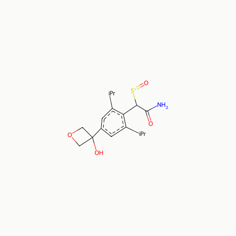 CC(C)c1cc(C2(O)COC2)cc(C(C)C)c1C([S+]=O)C(N)=O